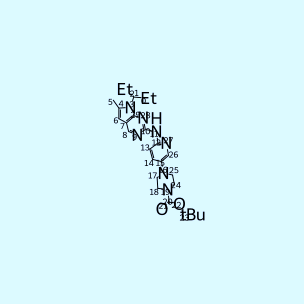 CCC(CC)n1c(C)cc2cnc(Nc3ccc(N4CCN(C(=O)OC(C)(C)C)CC4)cn3)nc21